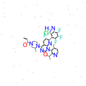 C=CC(=O)N1CCN(c2nc(=O)n(-c3c(C)ccnc3C(C)C)c3nc(-c4c(F)c(F)c(F)c(N)c4Cl)c(F)cc23)C(C)C1